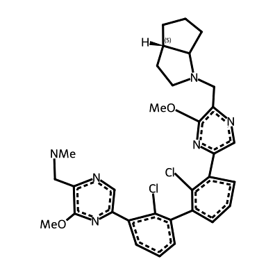 CNCc1ncc(-c2cccc(-c3cccc(-c4cnc(CN5CC[C@@H]6CCCC65)c(OC)n4)c3Cl)c2Cl)nc1OC